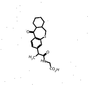 CC(C(=O)NCC(=O)O)c1ccc2c(c1)SCC1CCCCC1C2=O